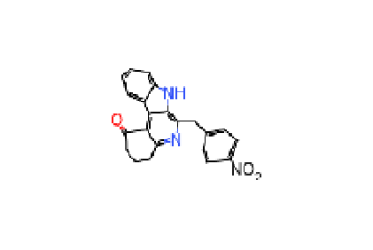 O=C1CCCc2nc(Cc3ccc([N+](=O)[O-])cc3)c3[nH]c4ccccc4c3c21